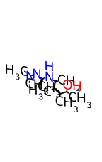 C=C(N/C(C)=N/N(C)C)/C(C)=C(/C)C(C)O